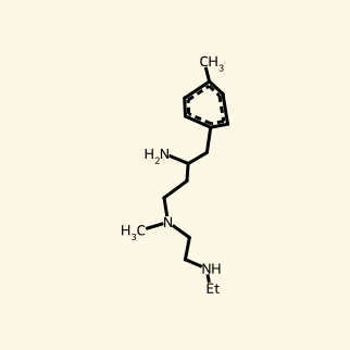 CCNCCN(C)CCC(N)Cc1ccc(C)cc1